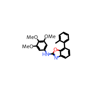 COc1cc(Nc2nc3cccc(-c4ccccc4C)c3o2)cc(OC)c1OC